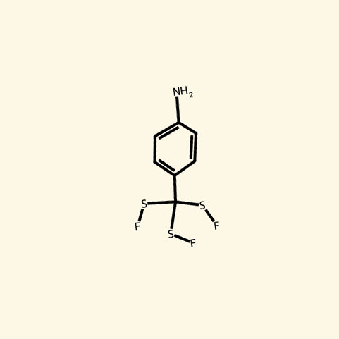 Nc1ccc(C(SF)(SF)SF)cc1